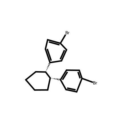 Brc1ccc([C@H]2CCCC[C@H]2c2ccc(Br)cc2)cc1